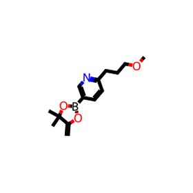 C=C1OB(c2ccc(CCCOC)nc2)OC1(C)C